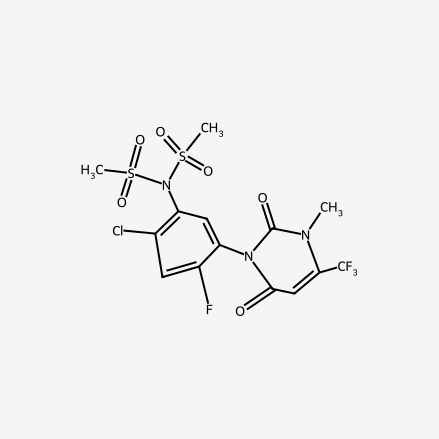 Cn1c(C(F)(F)F)cc(=O)n(-c2cc(N(S(C)(=O)=O)S(C)(=O)=O)c(Cl)cc2F)c1=O